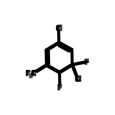 FC1C(C(F)(F)F)=CC(Cl)=CC1(F)Cl